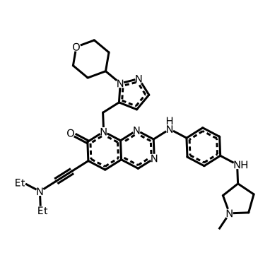 CCN(C#Cc1cc2cnc(Nc3ccc(NC4CCN(C)C4)cc3)nc2n(Cc2ccnn2C2CCOCC2)c1=O)CC